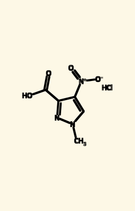 Cl.Cn1cc([N+](=O)[O-])c(C(=O)O)n1